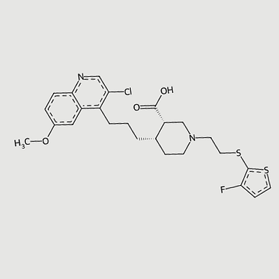 COc1ccc2ncc(Cl)c(CCC[C@H]3CCN(CCSc4sccc4F)C[C@H]3C(=O)O)c2c1